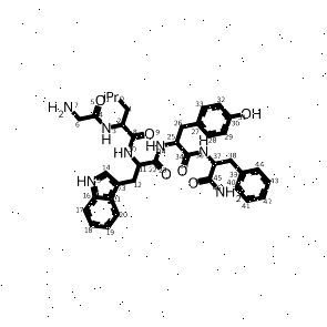 CC(C)CC(NC(=O)CN)C(=O)NC(Cc1c[nH]c2ccccc12)C(=O)NC(Cc1ccc(O)cc1)C(=O)NC(Cc1ccccc1)C(N)=O